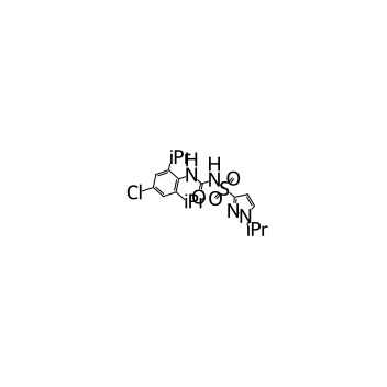 CC(C)c1cc(Cl)cc(C(C)C)c1NC(=O)NS(=O)(=O)c1ccn(C(C)C)n1